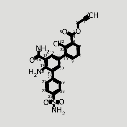 C#CCOC(=O)c1cccc(-c2cc(C(N)=O)c(N)c(-c3ccc(S(N)(=O)=O)cc3)c2)c1Cl